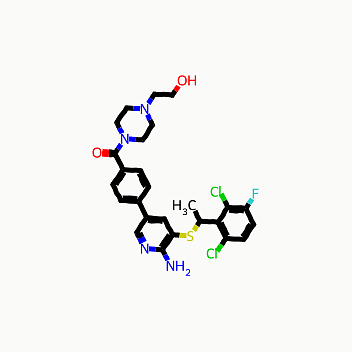 CC(Sc1cc(-c2ccc(C(=O)N3CCN(CCO)CC3)cc2)cnc1N)c1c(Cl)ccc(F)c1Cl